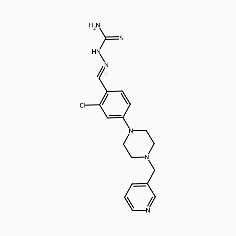 NC(=S)N/N=C/c1ccc(N2CCN(Cc3cccnc3)CC2)cc1Cl